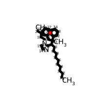 CCCCCCCCCCCC(c1nccn1CCCCC)C(C)(Cc1ccccc1)c1ccccc1